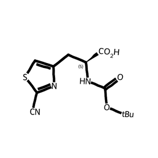 CC(C)(C)OC(=O)N[C@@H](Cc1csc(C#N)n1)C(=O)O